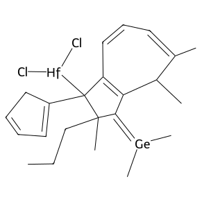 CCCC1(C)[C](=[Ge]([CH3])[CH3])C2=C(C=CC=C(C)C2C)[C]1(C1=CC=CC1)[Hf]([Cl])[Cl]